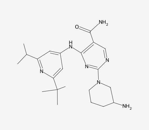 CC(C)c1cc(Nc2nc(N3CCCC(N)C3)ncc2C(N)=O)cc(C(C)(C)C)n1